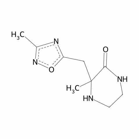 Cc1noc(CC2(C)NCCNC2=O)n1